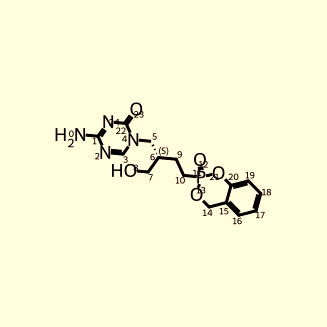 Nc1ncn(C[C@@H](CO)CCP2(=O)OCc3ccccc3O2)c(=O)n1